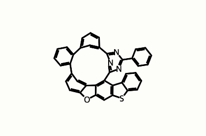 c1ccc(-c2nc3nc(n2)c2c4c(cc5sc6ccccc6c52)oc2ccc(cc24)c2ccccc2c2cccc3c2)cc1